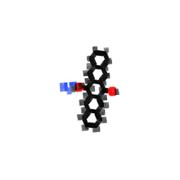 N.O=C1c2cc3ccccc3cc2C(=O)c2cc3ccccc3cc21